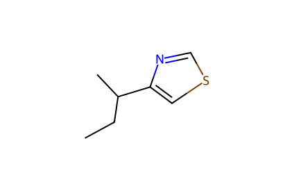 CCC(C)c1cscn1